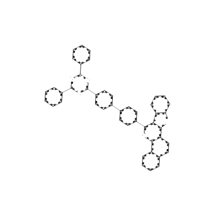 c1ccc(-c2nc(-c3ccccc3)nc(-c3ccc(-c4ccc(-c5nc6c7ccccc7ccc6c6oc7ccccc7c56)cc4)cc3)n2)cc1